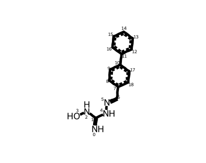 N=C(NO)N/N=C/c1ccc(-c2ccccc2)cc1